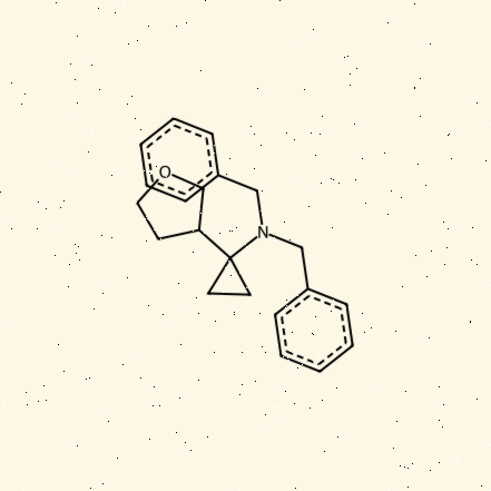 c1ccc(CN(Cc2ccccc2)C2(C3CCOC3)CC2)cc1